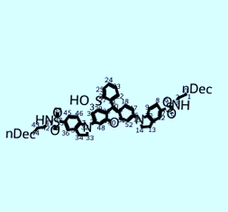 CCCCCCCCCCCCNS(=O)(=O)c1ccc2c(c1)CCN2c1ccc2c(-c3ccccc3S(=O)(=O)O)c3ccc(N4CCc5cc(S(=O)(=O)NCCCCCCCCCCCC)ccc54)cc3[o+]c2c1